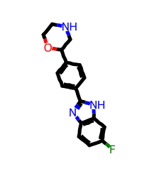 Fc1ccc2nc(-c3ccc(C4CNCCO4)cc3)[nH]c2c1